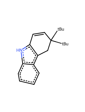 CC(C)(C)C1(C(C)(C)C)C=Cc2[nH]c3ccccc3c2C1